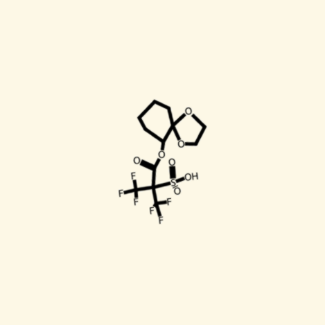 O=C(OC1CCCCC12OCCO2)C(C(F)(F)F)(C(F)(F)F)S(=O)(=O)O